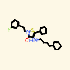 O=c1c(NCCCCc2ccccc2)c(-c2ccccc2)sn1CCc1cccc(F)c1